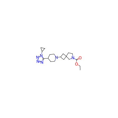 CCOC(=O)N1CCC2(CC(N3CCC(c4nnnn4C4CC4)CC3)C2)C1